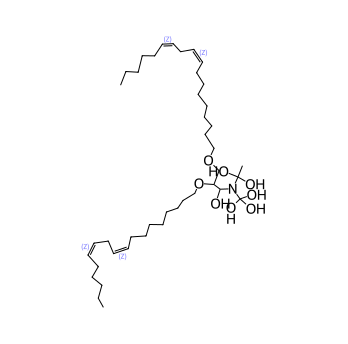 CCCCC/C=C\C/C=C\CCCCCCCCOCC(OCCCCCCCC/C=C\C/C=C\CCCCC)C(O)N(C(C)(O)O)C(O)(O)O